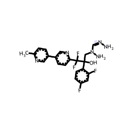 Cc1ccc(-c2ccc(C(F)(F)C(O)(CN(N)/C=N\N)c3ccc(F)cc3F)nc2)cn1